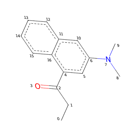 CCC(=O)c1cc(N(C)C)cc2ccccc12